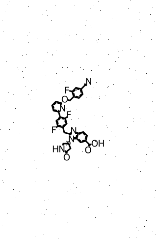 N#Cc1ccc(COc2cccc(-c3cc(F)c(Cc4nc5ccc(C(=O)O)cc5n4[C@@H]4CNC(=O)C4)cc3F)n2)c(F)c1